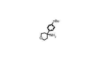 CCCCc1ccc(C2(N)CCOCC2)cc1